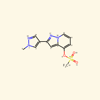 Cn1cc(-c2cc3c(OS(=O)(=O)C(F)(F)F)cccn3n2)cn1